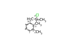 C[Si](C)(C)Cl.Cc1ccccc1